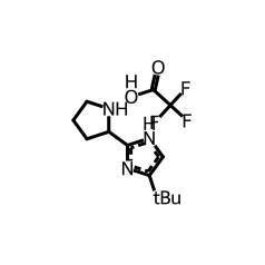 CC(C)(C)c1c[nH]c(C2CCCN2)n1.O=C(O)C(F)(F)F